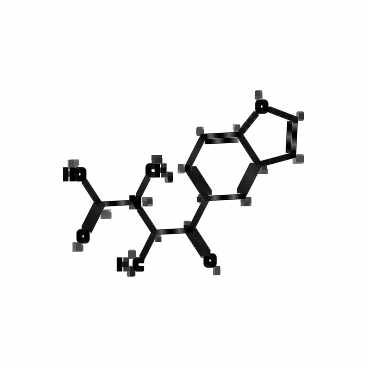 CC(C(=O)c1ccc2occc2c1)N(C)C(=O)O